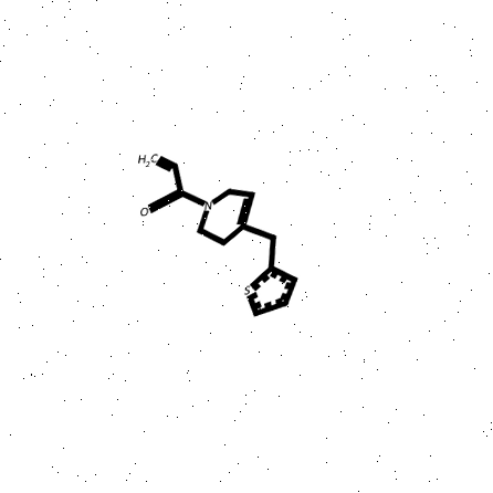 C=CC(=O)N1CC=C(Cc2cccs2)CC1